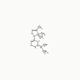 CC1=CCC(C2=CCCC(C(C)O)C2)C1(C)C